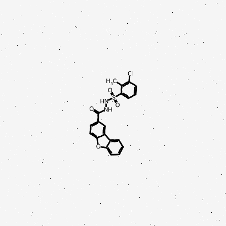 Cc1c(Cl)cccc1S(=O)(=O)NNC(=O)c1ccc2oc3ccccc3c2c1